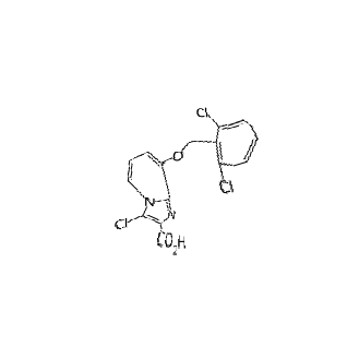 O=C(O)c1nc2c(OCc3c(Cl)cccc3Cl)cccn2c1Cl